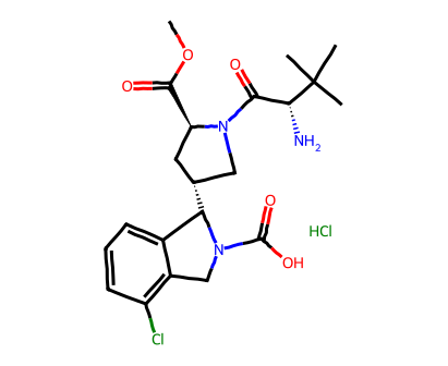 COC(=O)[C@@H]1C[C@@H](C2c3cccc(Cl)c3CN2C(=O)O)CN1C(=O)[C@@H](N)C(C)(C)C.Cl